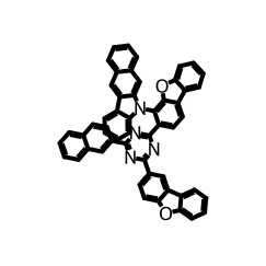 c1ccc2cc(-c3nc(-c4ccc5oc6ccccc6c5c4)nc(-c4ccc5c(oc6ccccc65)c4-n4c5ccccc5c5cc6ccccc6cc54)n3)ccc2c1